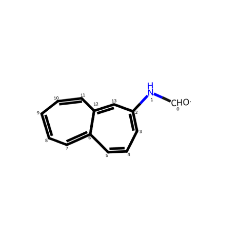 O=[C]NC1=CC=CC2=CC=CC=CC2=C1